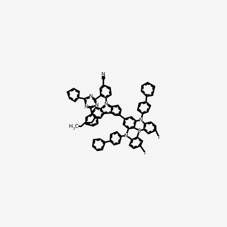 CCCCc1ccc2c(c1)c1cc(-c3cc4c5c(c3)N(c3ccc(-c6ccccc6)cc3)c3ccc(I)cc3B5c3cc(I)ccc3N4c3ccc(-c4ccccc4)cc3)ccc1n2-c1ccc(C#N)cc1-c1nc(-c2ccccc2)nc(-c2ccccc2)n1